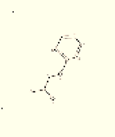 [CH2]C([O])COc1ccccc1